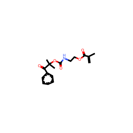 C=C(C)C(=O)OCCNC(=O)OC(C)(C)C(=O)c1ccccc1